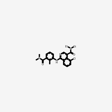 CCN(CC)C(=O)c1cnc(Nc2cccc(C(=O)N(C)C)c2C)c2cccc(Cl)c12